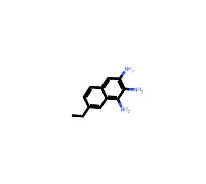 CCc1ccc2cc(N)c(N)c(N)c2c1